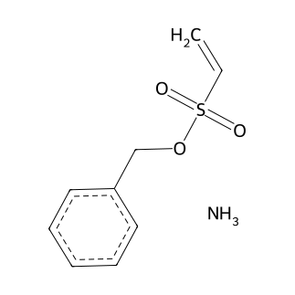 C=CS(=O)(=O)OCc1ccccc1.N